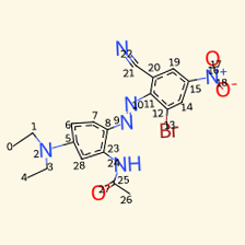 CCN(CC)c1ccc(N=Nc2c(Br)cc([N+](=O)[O-])cc2C#N)c(NC(C)=O)c1